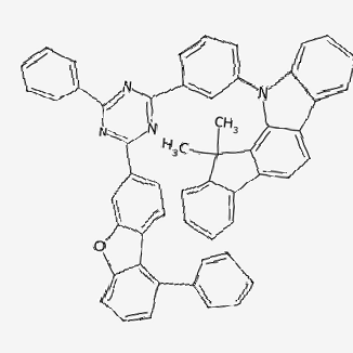 CC1(C)c2ccccc2-c2ccc3c4ccccc4n(-c4cccc(-c5nc(-c6ccccc6)nc(-c6ccc7c(c6)oc6cccc(-c8ccccc8)c67)n5)c4)c3c21